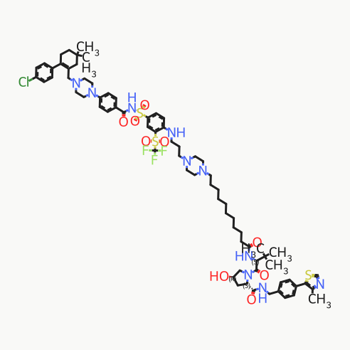 Cc1ncsc1-c1ccc(CNC(=O)[C@@H]2C[C@@H](O)CN2C(=O)[C@@H](NC(=O)CCCCCCCCCCN2CCN(CCCNc3ccc(S(=O)(=O)NC(=O)c4ccc(N5CCN(CC6=C(c7ccc(Cl)cc7)CCC(C)(C)C6)CC5)cc4)cc3S(=O)(=O)C(F)(F)F)CC2)C(C)(C)C)cc1